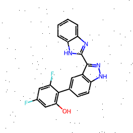 Oc1cc(F)cc(F)c1-c1ccc2[nH]nc(-c3nc4ccccc4[nH]3)c2c1